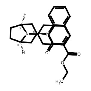 CCOC(=O)c1nc2ccccc2n([C@H]2C[C@H]3CC[C@@H](C2)N3C2CC3CCCC(C3)C2)c1=O